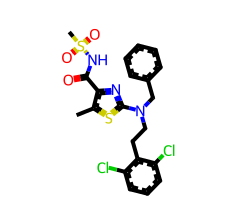 Cc1sc(N(CCc2c(Cl)cccc2Cl)Cc2ccccc2)nc1C(=O)NS(C)(=O)=O